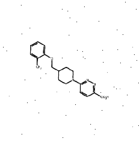 O=C(O)c1ccc(N2CCC(COc3ccccc3C(F)(F)F)CC2)nn1